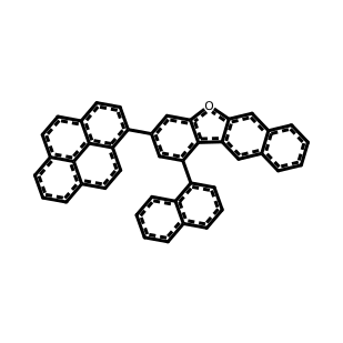 c1ccc2cc3c(cc2c1)oc1cc(-c2ccc4ccc5cccc6ccc2c4c56)cc(-c2cccc4ccccc24)c13